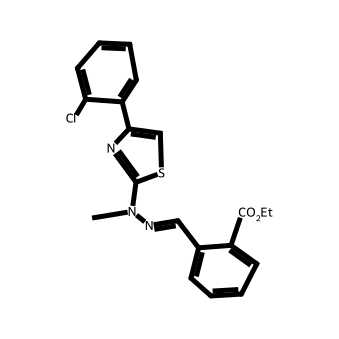 CCOC(=O)c1ccccc1/C=N/N(C)c1nc(-c2ccccc2Cl)cs1